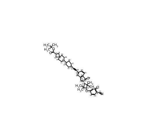 CC(C)(C)OC(=O)N1CC2(CCN(C3CCC(C#Cc4ccc5c(n4)CN([C@H]4C(C)(C)[C@H](Oc6ccc(C#N)c(Cl)c6)C4(C)C)C5=O)CC3)CC2)C1